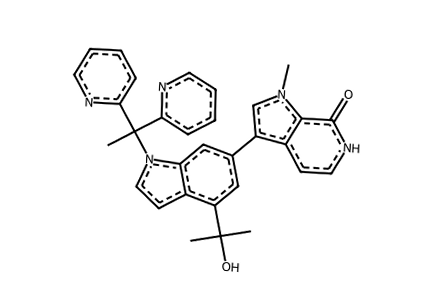 Cn1cc(-c2cc(C(C)(C)O)c3ccn(C(C)(c4ccccn4)c4ccccn4)c3c2)c2cc[nH]c(=O)c21